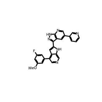 COc1cc(F)cc(-c2cncc3[nH]c(-c4n[nH]c5ncc(-c6cccnc6)cc45)cc23)c1